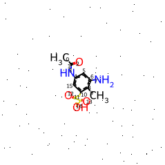 CC(=O)Nc1cc(N)c(C)c(S(=O)(=O)O)c1